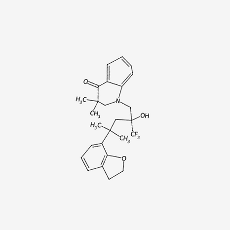 CC1(C)CN(CC(O)(CC(C)(C)c2cccc3c2OCC3)C(F)(F)F)c2ccccc2C1=O